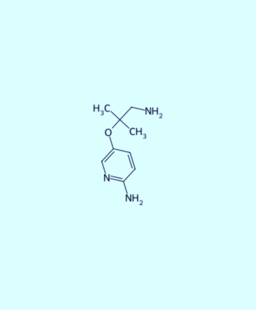 CC(C)(CN)Oc1ccc(N)nc1